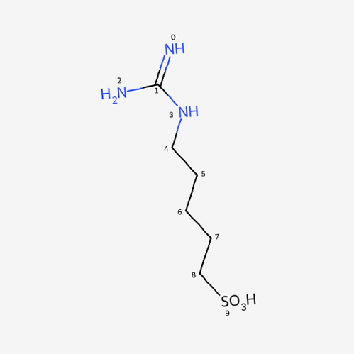 N=C(N)NCCCCCS(=O)(=O)O